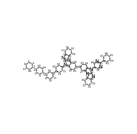 c1ccc(-c2ccc(-c3cccc(-c4ccc(-n5c6ccc(-c7ccc8c(c7)n7c9ccccc9nc7n8-c7cnc(-c8ccccc8)nc7)cc6n6c7ccccc7nc56)cc4)c3)cc2)cc1